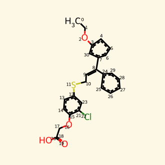 CCOc1cccc(C(=CCSc2ccc(OCC(=O)O)c(Cl)c2)c2ccccc2)c1